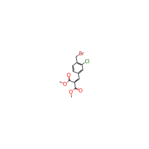 COC(=O)C(=Cc1ccc(CBr)c(Cl)c1)C(=O)OC